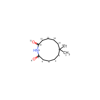 CCC1(C)CCCCC(=O)NC(=O)CCCC1